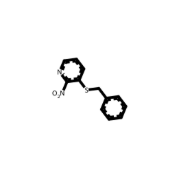 O=[N+]([O-])c1ncccc1SCc1ccccc1